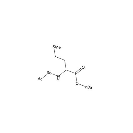 CCCCOC(=O)C(CCSC)N[Se]C(C)=O